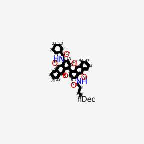 CCCCCCCCCCCCCC(=O)Nc1ccc(-c2ccc(NC(=O)C3CCCCC3)c3c2C(=O)c2ccccc2C3=O)c2c1C(=O)c1ccccc1C2=O